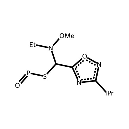 CCN(OC)C(SP=O)c1nc(C(C)C)no1